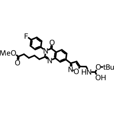 COC(=O)CCCCc1nc2cc(-c3cc(CNC(O)OC(C)(C)C)on3)ccc2c(=O)n1-c1ccc(F)cc1